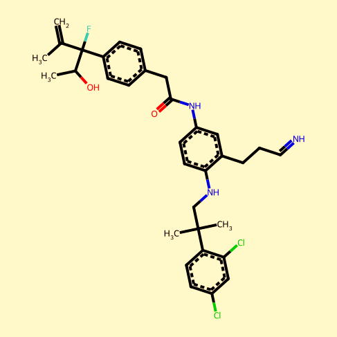 C=C(C)C(F)(c1ccc(CC(=O)Nc2ccc(NCC(C)(C)c3ccc(Cl)cc3Cl)c(CCC=N)c2)cc1)C(C)O